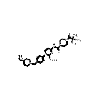 CC(C)(N)C(=O)N1CCN(C(=O)Nc2ccn(-c3ccc(CN4CCC(CN)CC4)cc3)c(=O)n2)CC1.Cl